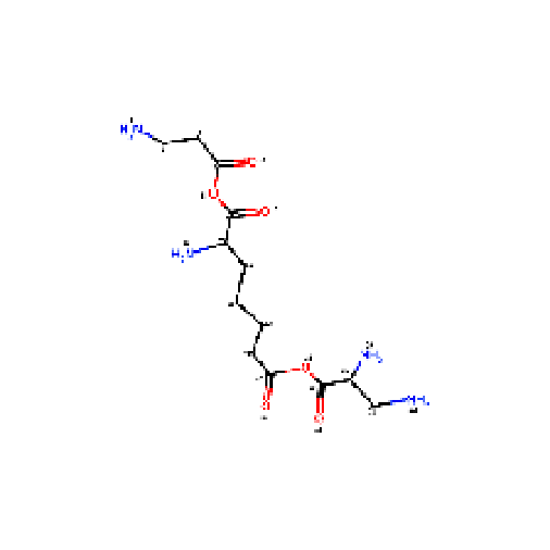 NCCC(=O)OC(=O)C(N)CCCCC(=O)OC(=O)C(N)CN